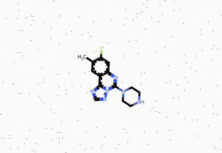 Cc1cc2c(cc1F)nc(N1CCNCC1)n1ncnc21